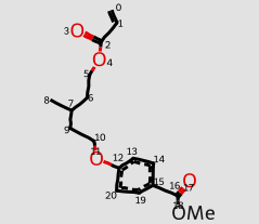 C=CC(=O)OCCC(C)CCOc1ccc(C(=O)OC)cc1